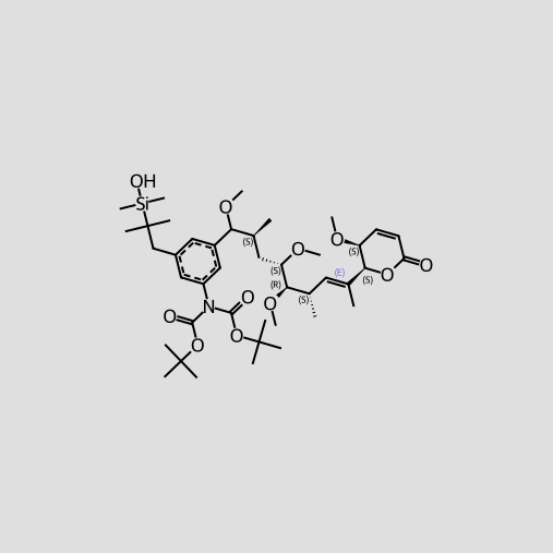 COC(c1cc(CC(C)(C)[Si](C)(C)O)cc(N(C(=O)OC(C)(C)C)C(=O)OC(C)(C)C)c1)[C@@H](C)C[C@H](OC)[C@H](OC)[C@@H](C)/C=C(\C)[C@@H]1OC(=O)C=C[C@@H]1OC